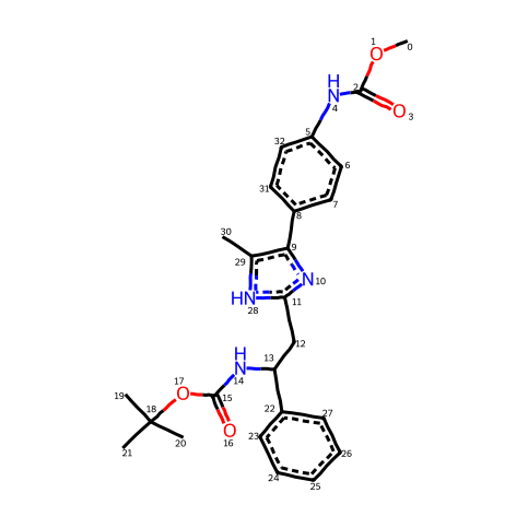 COC(=O)Nc1ccc(-c2nc(CC(NC(=O)OC(C)(C)C)c3ccccc3)[nH]c2C)cc1